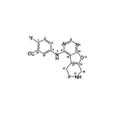 Fc1ccc(Nc2ncnc3oc4c(c23)CCNC4)cc1Cl